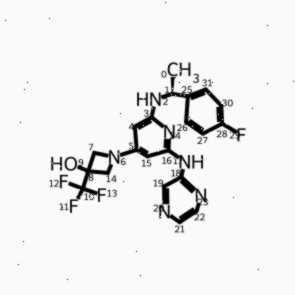 C[C@H](Nc1cc(N2CC(O)(C(F)(F)F)C2)cc(Nc2cnccn2)n1)c1ccc(F)cc1